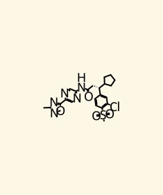 Cc1noc(-c2cnc(NC(=O)C[C@@H](c3ccc(S(C)(=O)=O)c(Cl)c3)C3CCCC3)cn2)n1